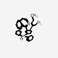 CCCC(CC)c1ccc(P(=O)(c2ccccc2)c2ccccc2)cc1-c1nccc2ccccc12